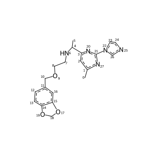 Cc1cc(C(C)NCCOCc2ccc3c(c2)OCO3)nc(-n2ccnc2)n1